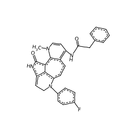 CN1C=CC(NC(=O)Cc2ccccc2)=c2ccc3c4c([nH]c(=O)c-4c21)=CCN3c1ccc(F)cc1